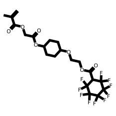 C=C(C)C(=O)OCC(=O)OC1CCC(OCCOC(=O)C2C(F)(F)C(F)(F)C(F)(F)C(F)(F)C2(F)F)CC1